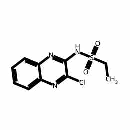 CCS(=O)(=O)Nc1nc2ccccc2nc1Cl